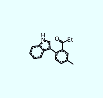 CCC(=O)c1cc(C)ccc1-c1c[nH]c2ccccc12